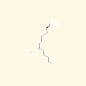 CC=CCCCCC(C)CCCC[O]